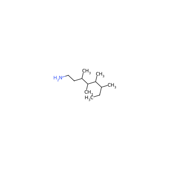 CCC(C)C(C)C(C)C(C)CCN